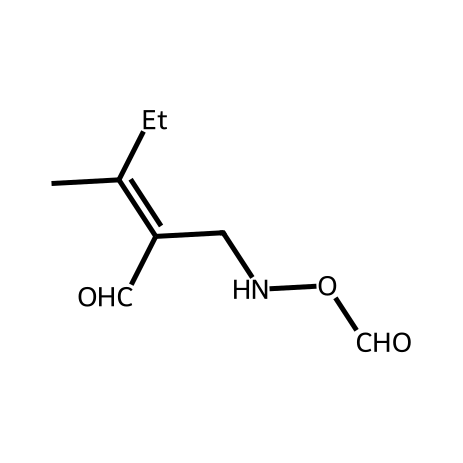 CCC(C)=C(C=O)CNOC=O